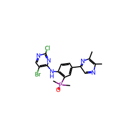 Cc1ncc(-c2ccc(Nc3nc(Cl)ncc3Br)c(P(C)(C)=O)c2)nc1C